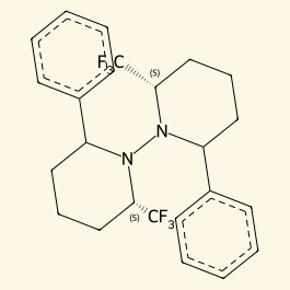 FC(F)(F)[C@@H]1CCCC(c2ccccc2)N1N1C(c2ccccc2)CCC[C@H]1C(F)(F)F